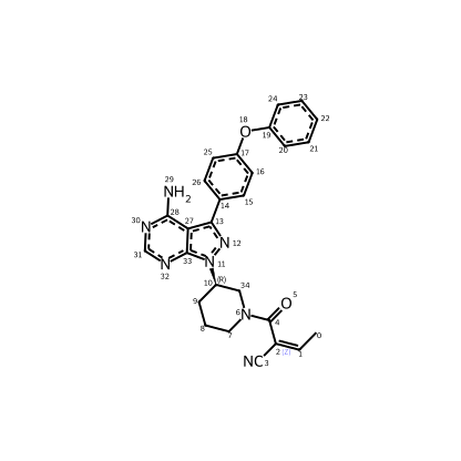 C/C=C(/C#N)C(=O)N1CCC[C@@H](n2nc(-c3ccc(Oc4ccccc4)cc3)c3c(N)ncnc32)C1